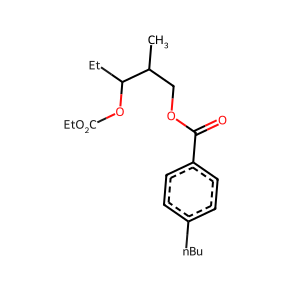 CCCCc1ccc(C(=O)OCC(C)C(CC)OC(=O)OCC)cc1